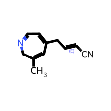 CC1=CC(C/C=C/C#N)=CC=NC1